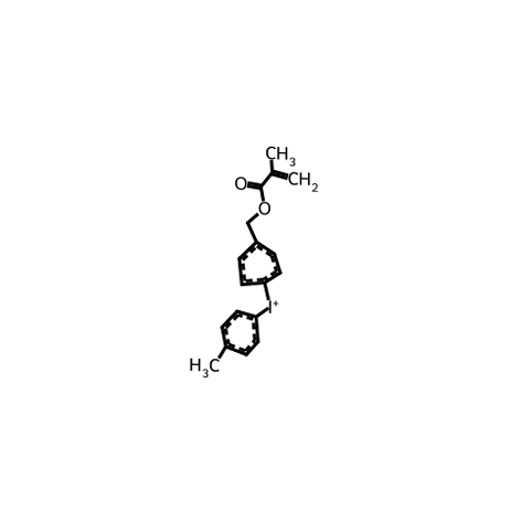 C=C(C)C(=O)OCc1ccc([I+]c2ccc(C)cc2)cc1